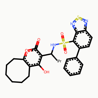 CC(C)C(NS(=O)(=O)c1c(-c2ccccc2)ccc2nsnc12)c1c(O)c2c(oc1=O)CCCCCC2